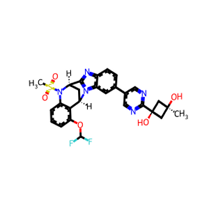 CS(=O)(=O)N1c2cccc(OC(F)F)c2[C@H]2C[C@@H]1c1nc3ccc(-c4cnc([C@]5(O)C[C@@](C)(O)C5)nc4)cc3n12